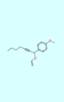 C=COC(C#CCCCC)c1ccc(OC)cc1